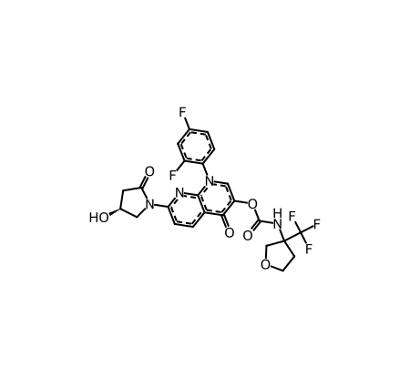 O=C(NC1(C(F)(F)F)CCOC1)Oc1cn(-c2ccc(F)cc2F)c2nc(N3C[C@@H](O)CC3=O)ccc2c1=O